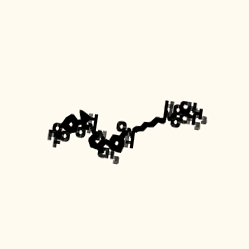 Cc1ccc(NC(=O)C2(c3ccc4c(c3)OC(F)(F)O4)CC2)nc1-c1cccc(C(=O)NCCCCCCNC(=O)OC(C)(C)C)c1